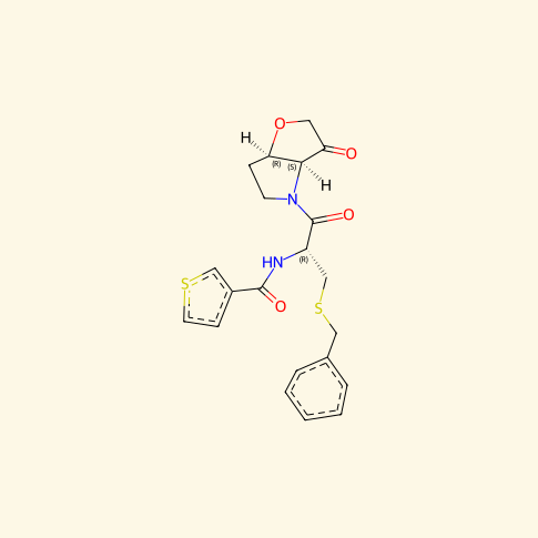 O=C(N[C@@H](CSCc1ccccc1)C(=O)N1CC[C@H]2OCC(=O)[C@H]21)c1ccsc1